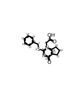 O=C(O)Cn1c(SCc2ccccc2)nc(=O)c2c1CCC2